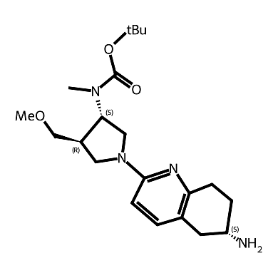 COC[C@@H]1CN(c2ccc3c(n2)CC[C@H](N)C3)C[C@H]1N(C)C(=O)OC(C)(C)C